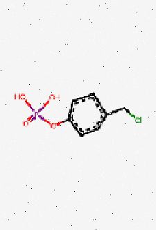 O=P(O)(O)Oc1ccc(CCl)cc1